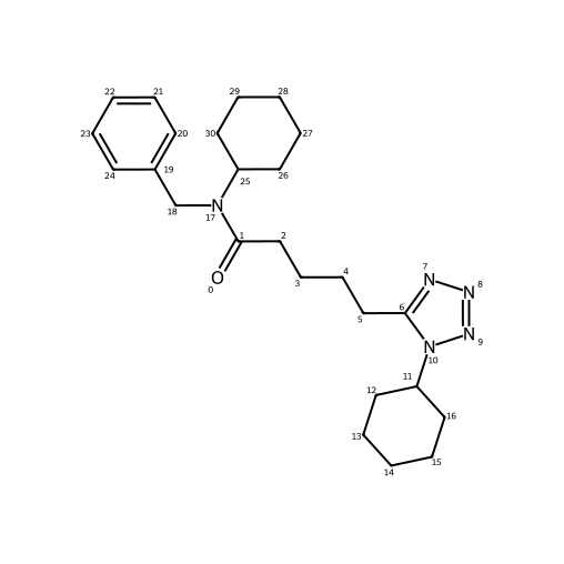 O=C(CCCCc1nnnn1C1CCCCC1)N(Cc1ccccc1)C1CCCCC1